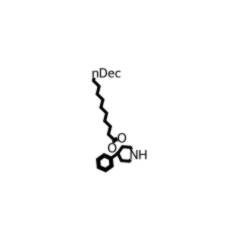 CCCCCCCCCCCCCCCCCCCC(=O)OC1(c2ccccc2)CCNCC1